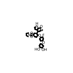 Cn1cc(-c2cc(S(=O)(=O)N3CCCC3)ccc2Oc2ccc(Oc3ccc(O)c(O)c3)cc2F)c2cc[nH]c2c1=O